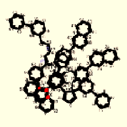 C1=CC(c2cccc(-c3ccccc3)c2)(N2c3ccc(-c4ccc5ccccc5c4)cc3B3c4cc(-c5ccc6ccccc6c5)ccc4N(/C(=C\C=C/Cc4cccc(-c5ccccc5)c4)c4cccc(-c5ccccc5)c4)c4cc(-n5c6ccccc6c6ccccc65)cc2c43)C(c2cccc(C3=CCCC=C3)c2)=C1